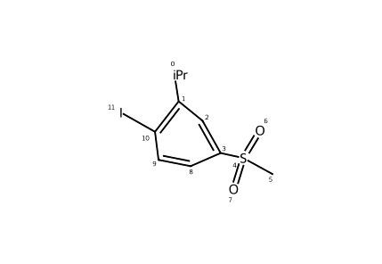 CC(C)c1cc(S(C)(=O)=O)ccc1I